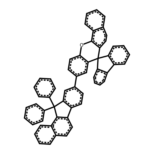 c1ccc(C2(c3ccccc3)c3cc(-c4ccc5c(c4)C4(c6ccccc6-c6ccccc64)c4ccc6ccccc6c4O5)ccc3-c3ccc4ccccc4c32)cc1